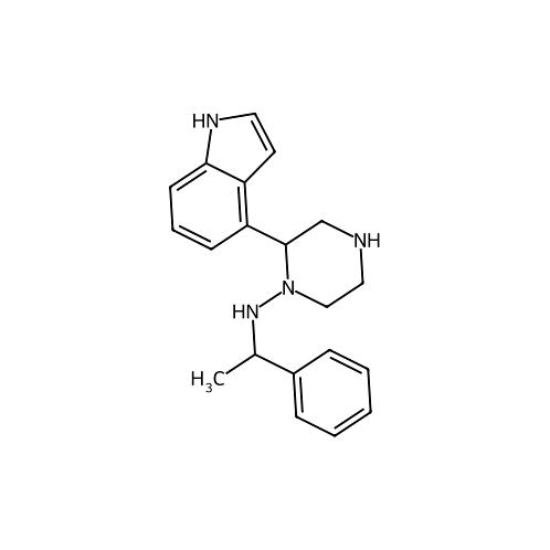 CC(NN1CCNCC1c1cccc2[nH]ccc12)c1ccccc1